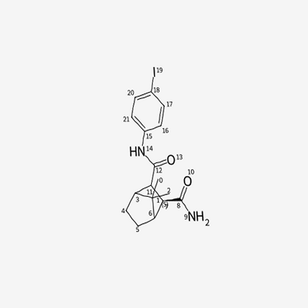 CC1(C)C2CCC1[C@H](C(N)=O)C2C(=O)Nc1ccc(I)cc1